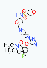 CCN(C(=O)c1cc(F)ccc1Oc1cncnc1N1CC2(CCN(C[C@@H]3CC[C@@H](NS(=O)(=O)C4CCOCC4)CO3)CC2)C1)C(C)C